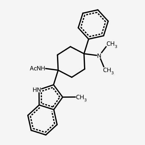 CC(=O)NC1(c2[nH]c3ccccc3c2C)CCC(c2ccccc2)(N(C)C)CC1